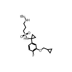 CC(C)(C)NCCCS(=O)(=O)NC1(c2ccc(F)c(OCC3CC3)c2)CC1